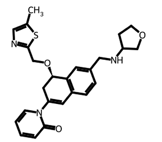 Cc1cnc(CO[C@@H]2CC(n3ccccc3=O)=Cc3ccc(CNC4CCOC4)cc32)s1